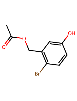 CC(=O)OCc1cc(O)ccc1Br